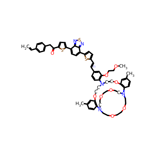 C=Cc1ccc(CC(=O)c2ccc(-c3ccc(-c4ccc(/C=C/c5ccc(N6CCOc7cc(C)ccc7N7CCOCCOCCN(CCOCCOCC7)c7ccc(C)cc7OCC6)c(OCCOC)c5)s4)c4nsnc34)s2)cc1